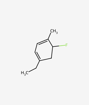 CCC1=CC=C(C)C(F)C1